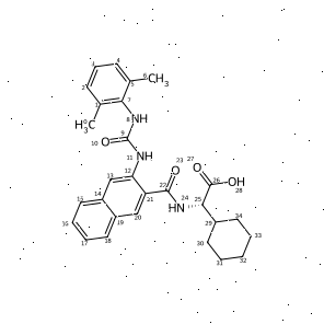 Cc1cccc(C)c1NC(=O)Nc1cc2ccccc2cc1C(=O)N[C@H](C(=O)O)C1CCCCC1